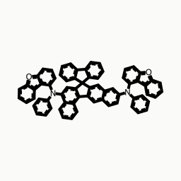 c1ccc(N(c2ccc3cc4c(cc3c2)C2(c3ccccc3-c3ccccc32)c2cc(N(c3ccccc3)c3cccc5oc6ccccc6c35)c3ccccc3c2-4)c2cccc3oc4ccccc4c23)cc1